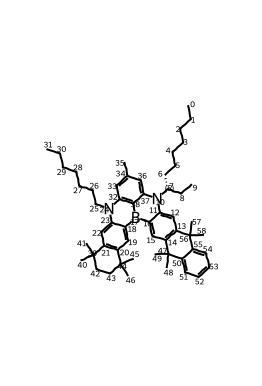 CCCCCCC[C@H](CC)N1c2cc3c(cc2B2c4cc5c(cc4N(CCCCCCC)c4cc(C)cc1c42)C(C)(C)CCC5(C)C)C(C)(C)c1ccccc1C3(C)C